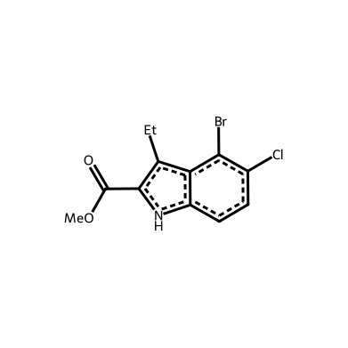 CCc1c(C(=O)OC)[nH]c2ccc(Cl)c(Br)c12